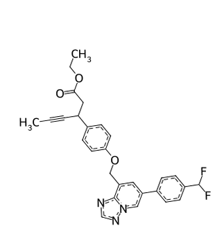 CC#CC(CC(=O)OCC)c1ccc(OCc2cc(-c3ccc(C(F)F)cc3)cn3ncnc23)cc1